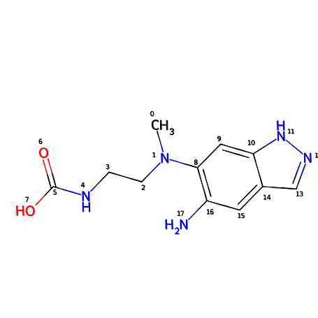 CN(CCNC(=O)O)c1cc2[nH]ncc2cc1N